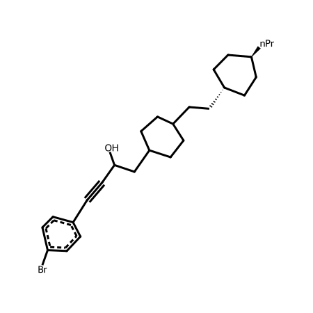 CCC[C@H]1CC[C@H](CCC2CCC(CC(O)C#Cc3ccc(Br)cc3)CC2)CC1